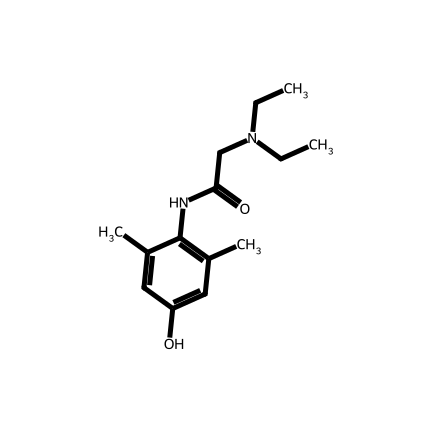 CCN(CC)CC(=O)Nc1c(C)cc(O)cc1C